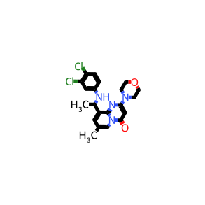 Cc1cc(C(C)Nc2ccc(Cl)c(Cl)c2)c2nc(N3CCOCC3)cc(=O)n2c1